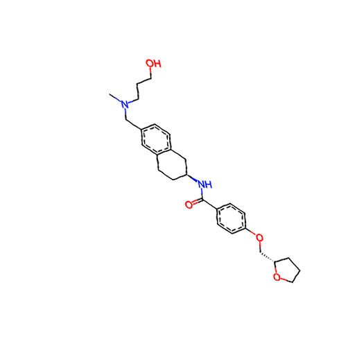 CN(CCCO)Cc1ccc2c(c1)CC[C@H](NC(=O)c1ccc(OC[C@@H]3CCCO3)cc1)C2